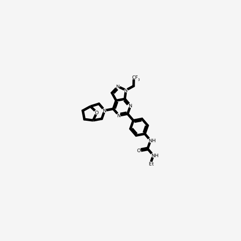 CCNC(=O)Nc1ccc(-c2nc(N3CC4CCC(C3)O4)c3cnn(CC(F)(F)F)c3n2)cc1